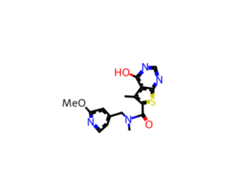 COc1cc(CN(C)C(=O)c2sc3ncnc(O)c3c2C)ccn1